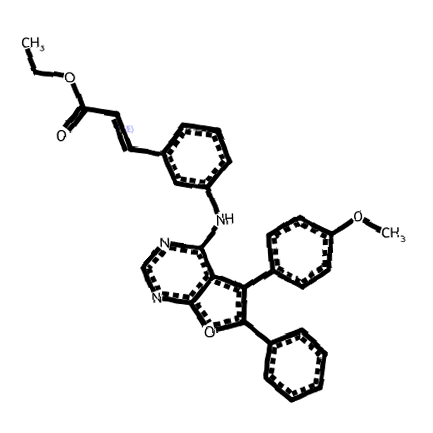 CCOC(=O)/C=C/c1cccc(Nc2ncnc3oc(-c4ccccc4)c(-c4ccc(OC)cc4)c23)c1